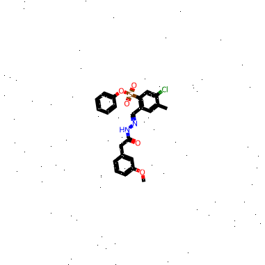 COc1cccc(CC(=O)NN=Cc2cc(C)c(Cl)cc2S(=O)(=O)Oc2ccccc2)c1